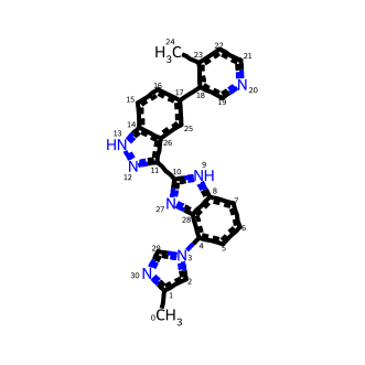 Cc1cn(-c2cccc3[nH]c(-c4n[nH]c5ccc(-c6cnccc6C)cc45)nc23)cn1